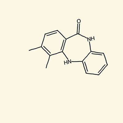 Cc1ccc2c(c1C)Nc1ccccc1NC2=O